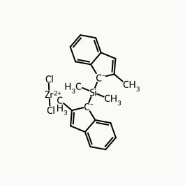 Cc1cc2ccccc2[c-]1[Si](C)(C)[c-]1c(C)cc2ccccc21.[Cl][Zr+2][Cl]